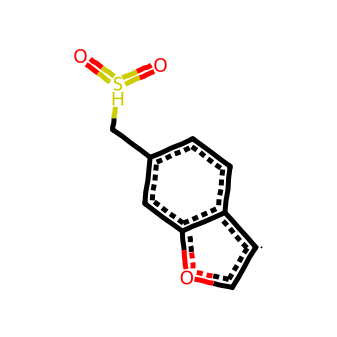 O=[SH](=O)Cc1ccc2[c]coc2c1